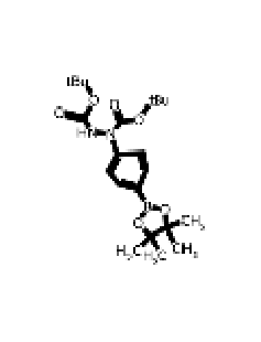 CC(C)(C)OC(=O)NN(C(=O)OC(C)(C)C)c1ccc(B2OC(C)(C)C(C)(C)O2)cc1